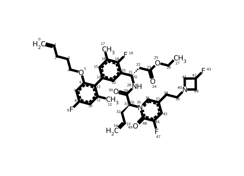 C=CCCCOc1cc(F)cc(C)c1-c1cc(C)c(F)c([C@H](CC(=O)OCC)NC(=O)[C@H](CC=C)n2cc(CCN3CC(F)C3)cc(F)c2=O)c1